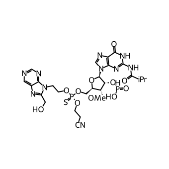 CO[C@H]1[C@@H](O[PH](=O)O)[C@H](n2cnc3c(=O)[nH]c(NC(=O)C(C)C)nc32)O[C@@H]1COP(=S)(OCCC#N)OCCn1c(CO)nc2cncnc21